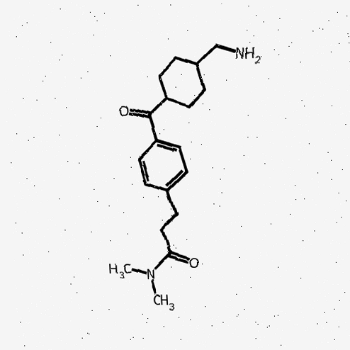 CN(C)C(=O)CCc1ccc(C(=O)C2CCC(CN)CC2)cc1